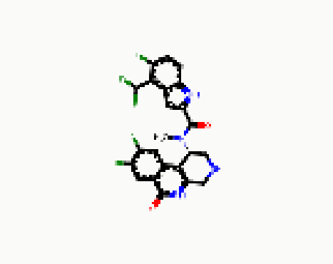 CN(C(=O)c1cc2c(C(F)F)c(F)ccc2[nH]1)[C@@H]1CNCc2[nH]c(=O)c3cc(F)c(F)cc3c21